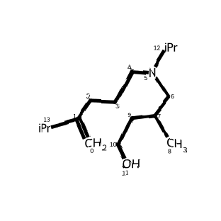 C=C(CCCN(CC(C)CCO)C(C)C)C(C)C